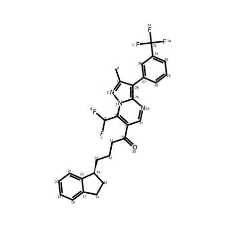 Cc1nn2c(C(F)F)c(C(=O)CCC[C@H]3CCc4ccccc43)cnc2c1-c1cccc(C(F)(F)F)c1